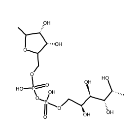 CC1OC(COP(=O)(O)OP(=O)(O)OC[C@H](O)[C@@H](O)[C@@H](O)[C@@H](C)O)[C@@H](O)[C@H]1O